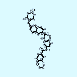 CCN1CCN(Cc2ccc3cc(C(=O)Nc4cc(NC(=O)c5ccc6c(c5)OCCO6)ccc4F)ccc3n2)[C@@H](C)C1